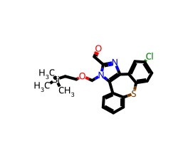 C[Si](C)(C)CCOCn1c(C=O)nc2c1-c1ccccc1Sc1ccc(Cl)cc1-2